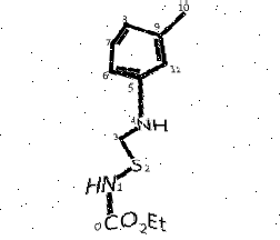 CCOC(=O)NSCNc1cccc(C)c1